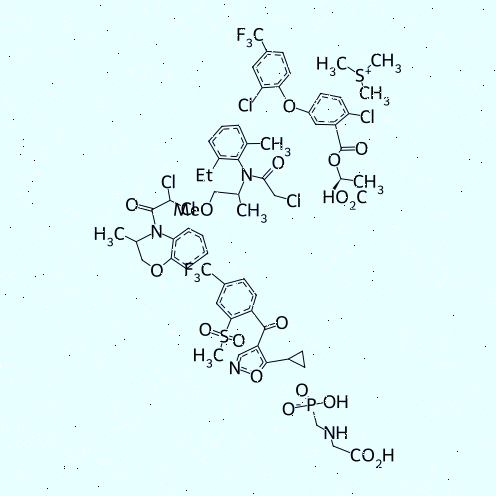 CC1COc2ccccc2N1C(=O)C(Cl)Cl.CCc1cccc(C)c1N(C(=O)CCl)C(C)COC.CS(=O)(=O)c1cc(C(F)(F)F)ccc1C(=O)c1cnoc1C1CC1.C[C@H](OC(=O)c1cc(Oc2ccc(C(F)(F)F)cc2Cl)ccc1Cl)C(=O)O.C[S+](C)C.O=C(O)CNCP(=O)([O-])O